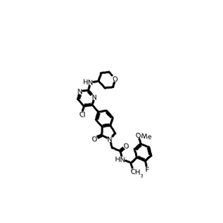 COc1ccc(F)c(C(C)NC(=O)CN2Cc3ccc(-c4nc(NC5CCOCC5)ncc4Cl)cc3C2=O)c1